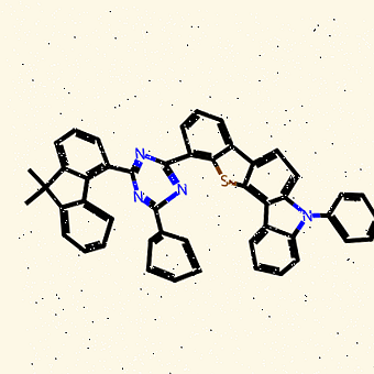 CC1(C)c2ccccc2-c2c(-c3nc(-c4ccccc4)nc(-c4cccc5c4sc4c5ccc5c4c4ccccc4n5-c4ccccc4)n3)cccc21